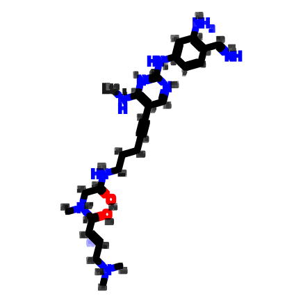 CCNc1nc(Nc2ccc(C=N)c(N)c2)ncc1C#CCCCNC(=O)CN(C)C(=O)/C=C/CN(C)C